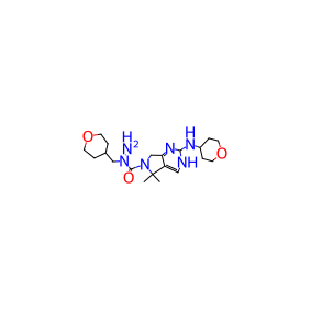 CC1(C)C2=CNC(NC3CCOCC3)N=C2CN1C(=O)N(N)CC1CCOCC1